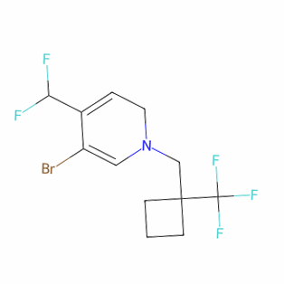 FC(F)C1=CCN(CC2(C(F)(F)F)CCC2)C=C1Br